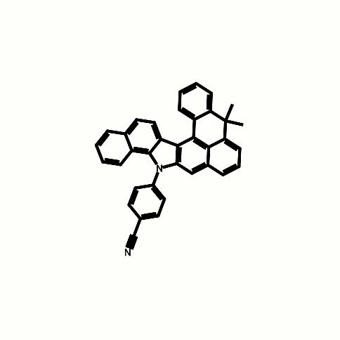 CC1(C)c2ccccc2-c2c3c1cccc3cc1c2c2ccc3ccccc3c2n1-c1ccc(C#N)cc1